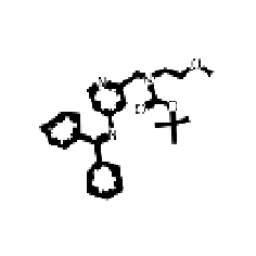 COCCN(Cc1cc(N=C(c2ccccc2)c2ccccc2)ccn1)C(=O)OC(C)(C)C